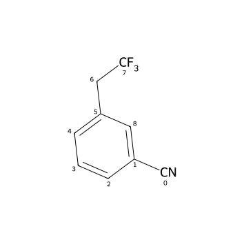 N#Cc1cccc(CC(F)(F)F)c1